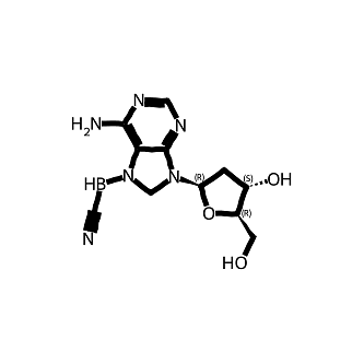 N#CBN1CN([C@H]2C[C@H](O)[C@@H](CO)O2)c2ncnc(N)c21